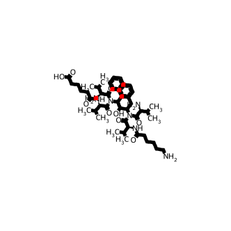 CC(C)[C@H](N)C(=O)N(C(=O)[C@@H](NC(=O)CCCCCN)C(C)C)C(Cc1ccccc1)C(O)C(Cc1ccccc1)N(C(=O)[C@@H](N)C(C)C)C(=O)[C@@H](NC(=O)CCCCC(=O)O)C(C)C